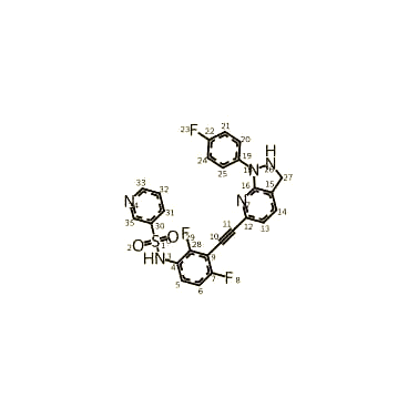 O=S(=O)(Nc1ccc(F)c(C#Cc2ccc3c(n2)N(c2ccc(F)cc2)NC3)c1F)c1cccnc1